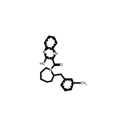 Cc1cccc(CC2CCCCCN2C(=O)c2nc3ccccc3nc2O)c1